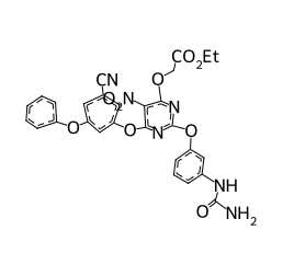 CCOC(=O)COc1nc(Oc2cccc(NC(N)=O)c2)nc(Oc2cc(C#N)cc(Oc3ccccc3)c2)c1[N+](=O)[O-]